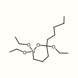 CCCCCC1(OCC)CCC[Si](OCC)(OCC)O1